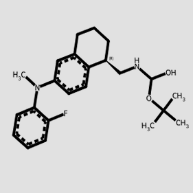 CN(c1ccc2c(c1)CCC[C@H]2CNC(O)OC(C)(C)C)c1ccccc1F